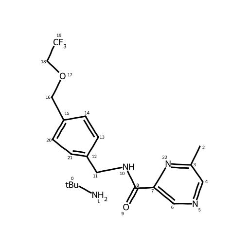 CC(C)(C)N.Cc1cncc(C(=O)NCc2ccc(COCC(F)(F)F)cc2)n1